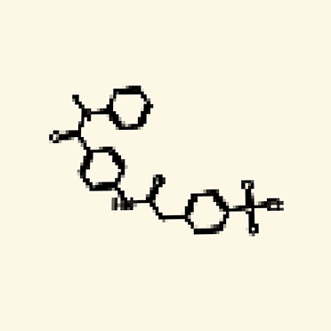 CCS(=O)(=O)c1ccc(CC(=O)Nc2ccc(C(=O)N(C)c3ccccc3)cc2)cc1